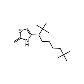 C=C1NC(C(CCCCC(C)(C)C)C(C)(C)C)=CS1